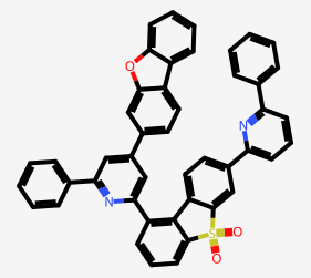 O=S1(=O)c2cc(-c3cccc(-c4ccccc4)n3)ccc2-c2c(-c3cc(-c4ccc5c(c4)oc4ccccc45)cc(-c4ccccc4)n3)cccc21